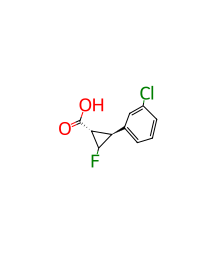 O=C(O)[C@H]1C(F)[C@@H]1c1cccc(Cl)c1